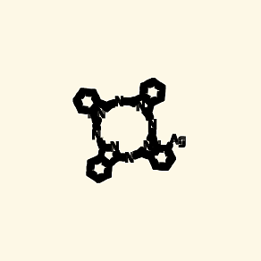 [Ag][c]1cccc2c3nc4nc(nc5[nH]c(nc6nc(nc([nH]3)c12)-c1ccccc1-6)c1ccccc51)-c1ccccc1-4